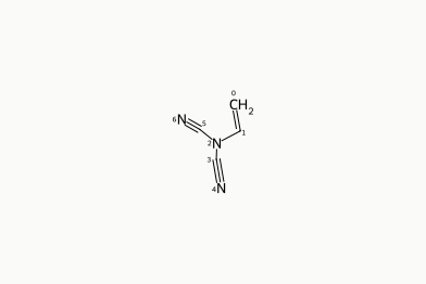 C=CN(C#N)C#N